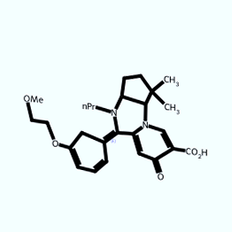 CCCN1/C(=C2/C=CC=C(OCCOC)C2)c2cc(=O)c(C(=O)O)cn2C2C1CCC2(C)C